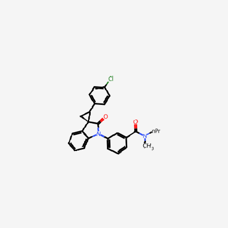 CCCN(C)C(=O)c1cccc(N2C(=O)[C@]3(CC3c3ccc(Cl)cc3)c3ccccc32)c1